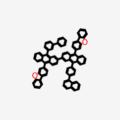 c1ccc(-c2cccc(-c3c4ccccc4c(-c4ccc5c(c4)oc4ccccc45)c4ccc(-c5ccc6c(-c7ccc8c(c7)oc7ccccc78)c7ccccc7c(-c7ccc(-c8cccc9ccccc89)cc7)c6c5)cc34)c2)cc1